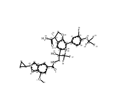 COc1cc(C(=O)NCC(O)(c2cc3c(c(-c4ccc(OC(F)(F)F)c(F)c4)n2)OC[C@]3(C)C(N)=O)C(F)(F)F)cc2cn(C3CC3)nc12